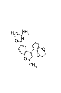 CC1C=C(c2cccc3c2OCCO3)c2cc(C(=O)N=C(N)N)ccc2O1